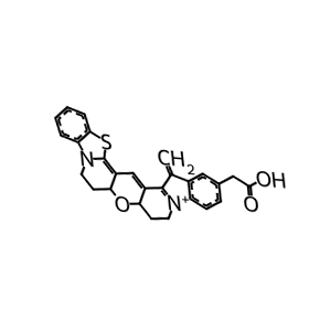 C=C1C2=[N+](CCC3OC4CCN5C(=C4C=C23)Sc2ccccc25)c2ccc(CC(=O)O)cc21